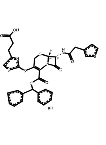 O=C(O)CCc1csc(SC2=C(C(=O)OC(c3ccccc3)c3ccccc3)N3C(=O)[C@@H](NC(=O)Cc4ccsc4)[C@H]3SC2)n1.[KH]